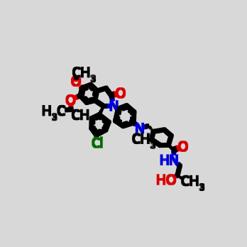 COc1cc2c(cc1OC(C)C)[C@H](c1ccc(Cl)cc1)N(c1ccc(N(C)C[C@H]3CC[C@H](C(=O)NC[C@H](C)O)CC3)cc1)C(=O)C2